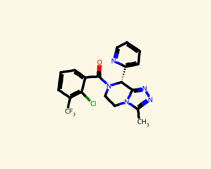 Cc1nnc2n1CCN(C(=O)c1cccc(C(F)(F)F)c1Cl)[C@@H]2c1ccccn1